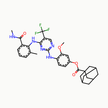 CNC(=O)c1cccc(C)c1Nc1nc(Nc2ccc(OC(=O)C34CC5CC(CC(C5)C3)C4)cc2OC)ncc1C(F)(F)F